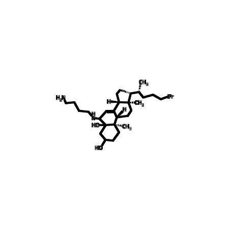 CC(C)CCC[C@@H](C)[C@H]1CC[C@H]2C3=CC(NCCCCN)C4(O)CC(O)CC[C@]4(C)[C@H]3CC[C@]12C